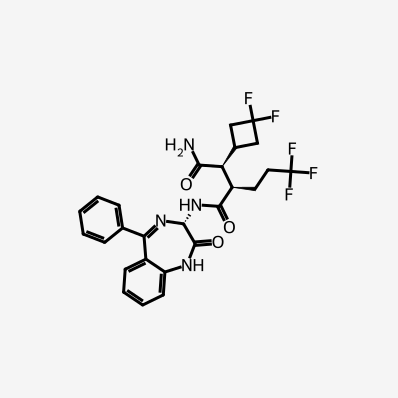 NC(=O)[C@@H](C1CC(F)(F)C1)[C@@H](CCC(F)(F)F)C(=O)N[C@H]1N=C(c2ccccc2)c2ccccc2NC1=O